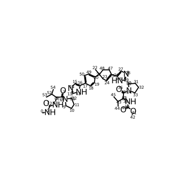 CNC(=O)N[C@H](C(=O)N1CCC[C@H]1c1ncc(-c2ccc(C3(C)CC=C(c4cnc([C@@H]5CCCN5C(=O)[C@@H](NC(=O)OC)C(C)C)[nH]4)CC3)cc2)[nH]1)C(C)C